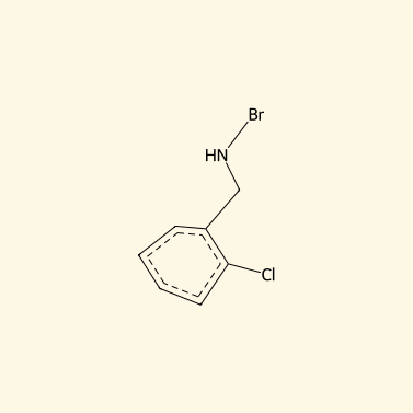 Clc1ccccc1CNBr